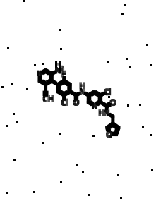 C#Cc1cncc(N)c1-c1cc(Cl)c(C(=O)Nc2cnc(C(=O)NCc3ccoc3)c(Cl)c2)cc1F